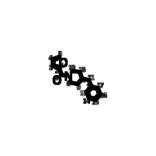 O=C(c1ccco1)N1CCC(Cc2ccccc2)CC1